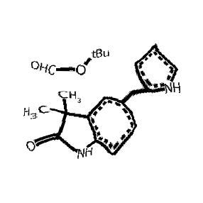 CC(C)(C)OC=O.CC1(C)C(=O)Nc2ccc(-c3ccc[nH]3)cc21